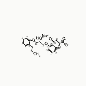 CCCc1ccccc1OCC(O)COc1cccc2oc(C(=O)[O-])cc(=O)c12.[Na+]